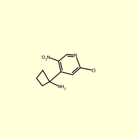 NC1(c2cc(Cl)ncc2[N+](=O)[O-])CCC1